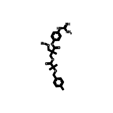 CCC(C)OCC(C)(COC(=O)C(C)(C)OCc1ccc(C)cc1)C(=O)Oc1ccc(NC(=N)N)cc1